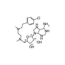 CN(CCc1ccc(Cl)cc1)CCN(C)C[C@H]1O[C@@H](N2CNC3C(N)NCNC32)[C@H](O)[C@@H]1O